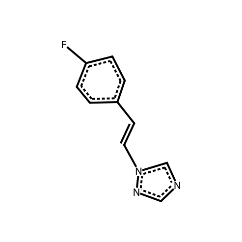 Fc1ccc(C=Cn2cncn2)cc1